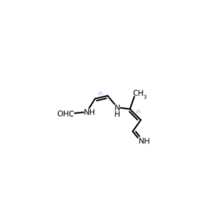 C/C(=C/C=N)N/C=C\NC=O